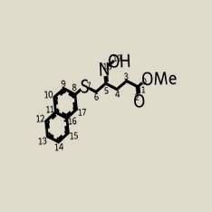 COC(=O)CCC(CSc1ccc2ccccc2c1)=NO